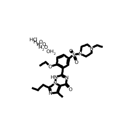 CCCc1nc(C)c2c(=O)nc(-c3cc(S(=O)(=O)N4CCN(CC)CC4)ccc3OCC)[nH]n12.Cl.O.O.O.O